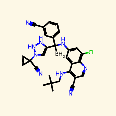 BC(Nc1cc(Cl)c2ncc(C#N)c(NCC(C)(C)C)c2c1)(C1=CN(C2(C#N)CC2)NN1)c1cccc(C#N)c1